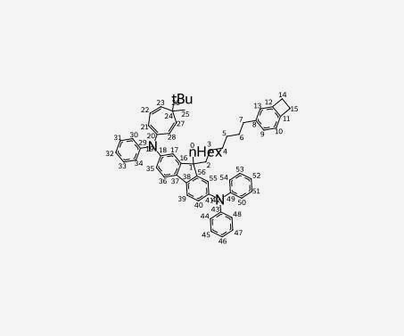 CCCCCCC1(CCCCCCc2ccc3c(c2)CC3)c2cc(N(C3=CC=CC(C)(C(C)(C)C)C=C3)c3ccccc3)ccc2-c2ccc(N(c3ccccc3)c3ccccc3)cc21